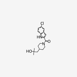 CC(C)(O)CC1CCN(C(=O)c2cc3cc(Cl)ccc3[nH]2)CC1